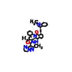 Cc1nn2cccnc2c1C(=O)N[C@@H](C)c1cc2cccc(C#Cc3cn(C)c4ccccc34)c2c(=O)n1-c1ccccc1